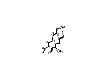 C=CC(O)CCCCC.CCCCCCC=CO